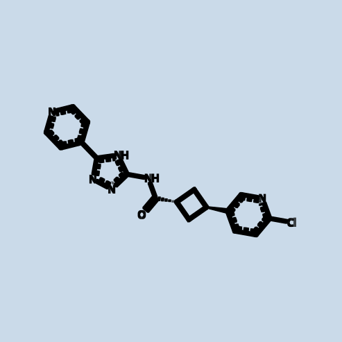 O=C(Nc1nnc(-c2ccncc2)[nH]1)[C@H]1C[C@H](c2ccc(Cl)nc2)C1